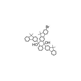 CC1(C)c2ccccc2-c2cc(C3(O)c4ccccc4C(O)(c4ccc5c(c4)C(C)(C)c4ccccc4-5)c4cc5c(cc43)C(C)(C)c3cc(Br)ccc3-5)ccc21